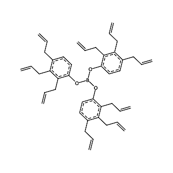 C=CCc1ccc(OB(Oc2ccc(CC=C)c(CC=C)c2CC=C)Oc2ccc(CC=C)c(CC=C)c2CC=C)c(CC=C)c1CC=C